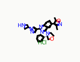 Cc1noc(C)c1-c1ccc2nc(-c3cnn(C4CNC4)c3)nc(N3CCOC[C@@H]3c3ccccc3)c2c1.Cl